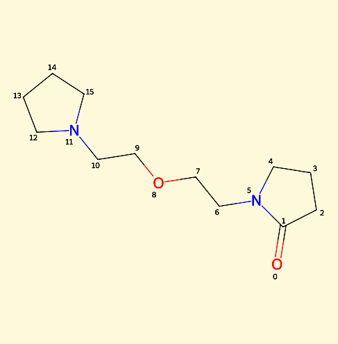 O=C1CCCN1CCOCCN1CCCC1